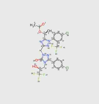 CC(=O)O[C@@H](C)c1nc(Cn2nc(-c3ccc(Cl)cc3)n(C[C@H](O)C(F)(F)F)c2=O)nn1-c1ccc(Cl)cc1C(F)(F)F